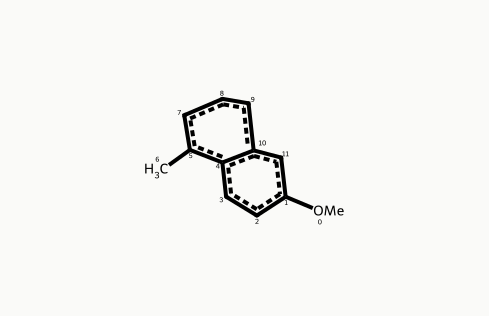 COc1ccc2c(C)cccc2c1